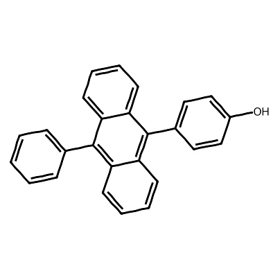 Oc1ccc(-c2c3ccccc3c(-c3ccccc3)c3ccccc23)cc1